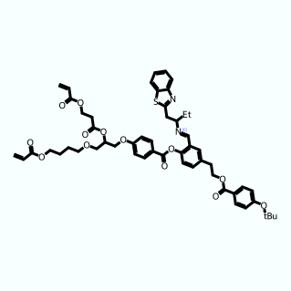 C=CC(=O)OCCCCOCC(COc1ccc(C(=O)Oc2ccc(CCOC(=O)c3ccc(OC(C)(C)C)cc3)cc2/C=N/C(CC)Cc2nc3ccccc3s2)cc1)OC(=O)CCOC(=O)C=C